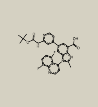 Cc1nc2c(C(=O)O)cc(-c3ccnc(NC(=O)OC(C)(C)C)c3)cc2n1-c1ccnc2c(F)ccc(F)c12